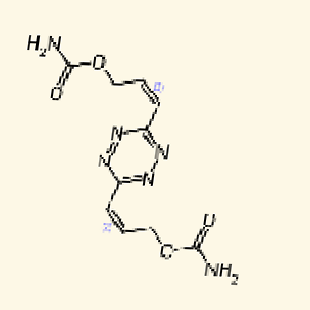 NC(=O)OC/C=C\c1nnc(/C=C\COC(N)=O)nn1